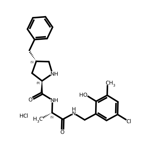 Cc1cc(Cl)cc(CNC(=O)[C@H](C)NC(=O)[C@H]2C[C@H](Cc3ccccc3)CN2)c1O.Cl